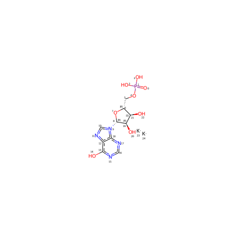 O=P(O)(O)OC[C@H]1O[C@@H](n2cnc3c(O)ncnc32)[C@H](O)[C@@H]1O.[K].[K]